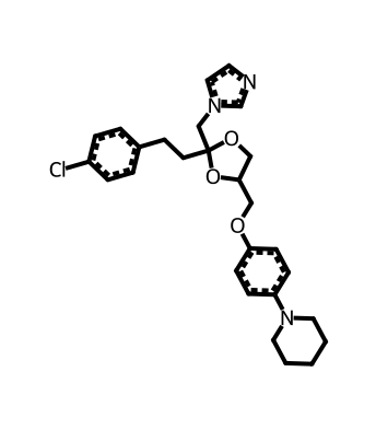 Clc1ccc(CCC2(Cn3ccnc3)OCC(COc3ccc(N4CCCCC4)cc3)O2)cc1